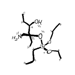 CCC[Si](OCC)(OCC)OC(C)(N)C(O)CC